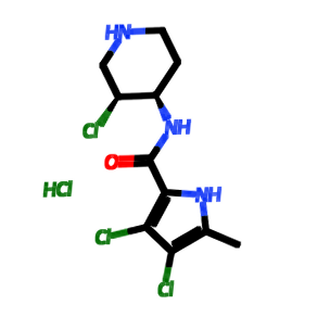 Cc1[nH]c(C(=O)N[C@@H]2CCNC[C@@H]2Cl)c(Cl)c1Cl.Cl